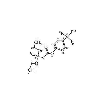 CCOP(=O)(CC(=O)Oc1ccc(C(F)(F)F)cc1)OCC